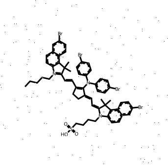 CCCCC[N+]1=C(/C=C/C2=C(N(c3ccc(Br)cc3)c3ccc(Br)cc3)C(=C/C=C3/N(CCCCS(=O)(=O)O)c4ccc5cc(Br)ccc5c4C3(C)C)/CC2)C(C)(C)c2c1ccc1cc(Br)ccc21